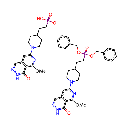 COc1nc(N2CCC(CCP(=O)(O)O)CC2)cc2cn[nH]c(=O)c12.COc1nc(N2CCC(CCP(=O)(OCc3ccccc3)OCc3ccccc3)CC2)cc2cn[nH]c(=O)c12